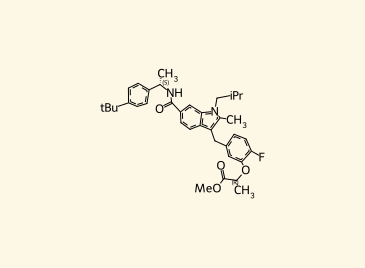 COC(=O)[C@@H](C)Oc1cc(Cc2c(C)n(CC(C)C)c3cc(C(=O)N[C@@H](C)c4ccc(C(C)(C)C)cc4)ccc23)ccc1F